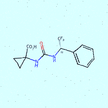 O=C(N[C@@H](c1ccccc1)C(F)(F)F)NC1(C(=O)O)CC1